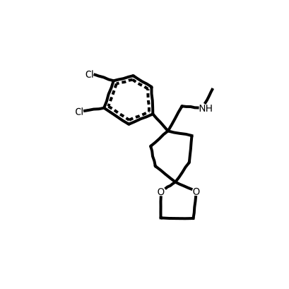 CNCC1(c2ccc(Cl)c(Cl)c2)CCC2(CC1)OCCO2